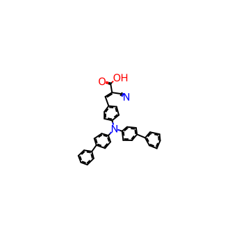 N#C/C(=C\c1ccc(N(c2ccc(-c3ccccc3)cc2)c2ccc(-c3ccccc3)cc2)cc1)C(=O)O